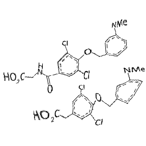 CNc1cccc(COc2c(Cl)cc(C(=O)NCC(=O)O)cc2Cl)c1.CNc1cccc(COc2c(Cl)cc(CC(=O)O)cc2Cl)c1